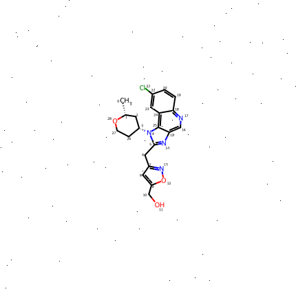 C[C@@H]1C[C@H](n2c(Cc3cc(CO)on3)nc3cnc4ccc(Cl)cc4c32)CCO1